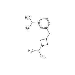 CC(C)c1cccc(CC2CN(C(C)C)C2)c1